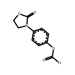 CCC(=O)Oc1ccc(N2CCOC2=O)cc1